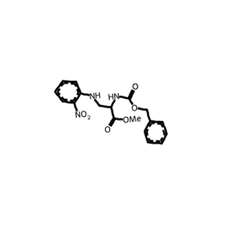 COC(=O)C(CNc1ccccc1[N+](=O)[O-])NC(=O)OCc1ccccc1